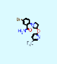 NC(=O)c1cc(Br)ccc1N1CCC(Oc2ccc(C(F)(F)F)cn2)C1